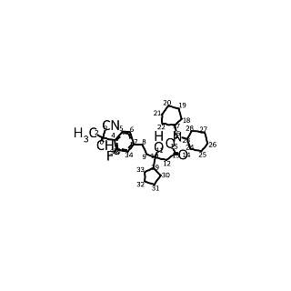 CC(C)(C#N)c1ccc(CCC(O)(CC(=O)ON(C2CCCCC2)C2CCCCC2)C2CCCC2)cc1F